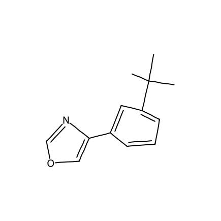 CC(C)(C)c1cccc(-c2cocn2)c1